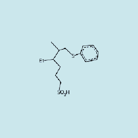 CCC(CCCS(=O)(=O)O)C(C)CSc1ccccc1